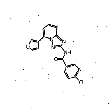 O=C(Nc1nc2cccc(-c3ccoc3)n2n1)c1ccc(Cl)nc1